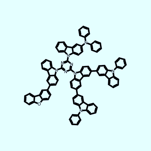 c1ccc(N(c2ccccc2)c2ccc3c(c2)c2ccccc2n3-c2nc(-n3c4ccccc4c4cc(-c5ccc6oc7ccccc7c6c5)ccc43)nc(-n3c4ccc(-c5ccc6c(c5)c5ccccc5n6-c5ccccc5)cc4c4cc(-c5ccc6c(c5)c5ccccc5n6-c5ccccc5)ccc43)n2)cc1